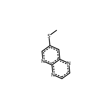 CSc1cnc2nccnc2c1